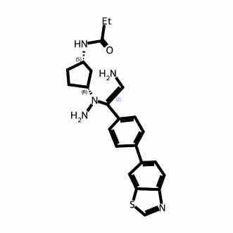 CCC(=O)N[C@H]1CC[C@@H](N(N)/C(=C\N)c2ccc(-c3ccc4ncsc4c3)cc2)C1